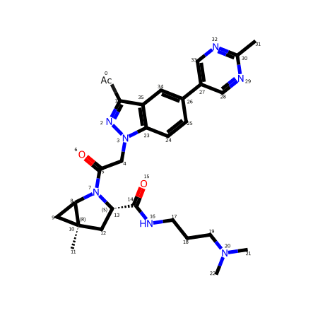 CC(=O)c1nn(CC(=O)N2C3C[C@]3(C)C[C@H]2C(=O)NCCCN(C)C)c2ccc(-c3cnc(C)nc3)cc12